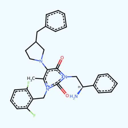 Cc1c(N2CCC(Cc3ccccc3)C2)c(=O)n(C[C@H](N)c2ccccc2)c(=O)n1Cc1c(F)cccc1F